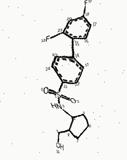 O=S(=O)(NC1CCCC1CO)c1ccc(-c2ccc(F)cc2F)cc1